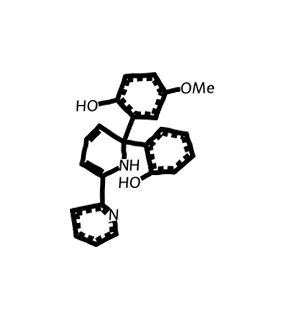 COc1ccc(O)c(C2(c3ccccc3O)C=CC=C(c3ccccn3)N2)c1